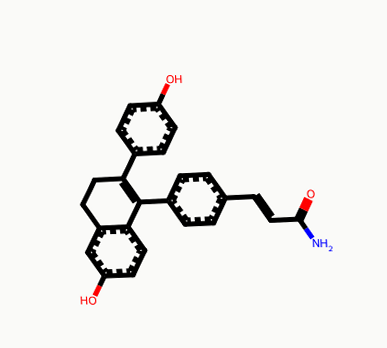 NC(=O)C=Cc1ccc(C2=C(c3ccc(O)cc3)CCc3cc(O)ccc32)cc1